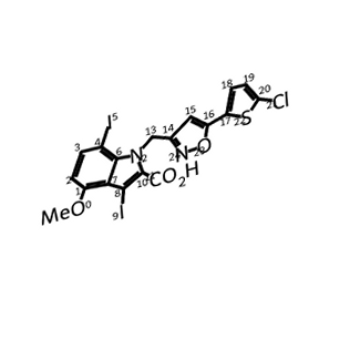 COc1ccc(I)c2c1c(I)c(C(=O)O)n2Cc1cc(-c2ccc(Cl)s2)on1